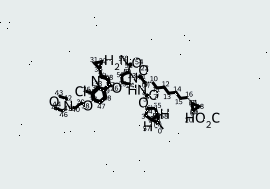 C[C@H]1[C@H]2C[C@@H](OC(=O)N[C@@H](CCCCCCC[C@@H]3C[C@@H]3C(=O)O)C(=O)N3CC(Oc4cc(C5CC5)nc5c(Cl)c(OCCN6CCOCC6)ccc45)C[C@H]3C(N)=O)C[C@@H]12